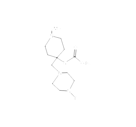 CCN1CCN(CC2(NC(=O)OCC(C)C)CCN(SC)CC2)CC1